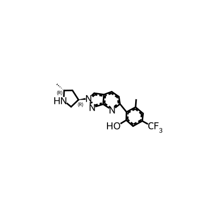 Cc1cc(C(F)(F)F)cc(O)c1-c1ccc2cn([C@H]3CN[C@H](C)C3)nc2n1